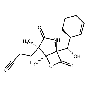 C[C@@]12OC(=O)[C@]1([C@@H](O)[C@@H]1C=CCCC1)NC(=O)[C@]2(C)CCC#N